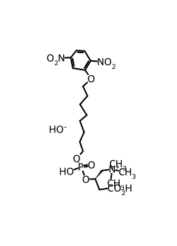 C[N+](C)(C)C[C@@H](CC(=O)O)OP(=O)(O)OCCCCCCCCOc1cc([N+](=O)[O-])ccc1[N+](=O)[O-].[OH-]